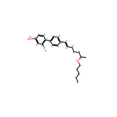 CCCCCOC(C)CCCC=Cc1ccc(-c2ccc(O)cc2F)cc1